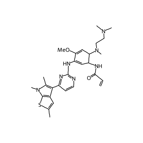 C=CC(=O)NC1C=C(Nc2nccc(-c3c(C)n(C)c4sc(C)cc34)n2)C(OC)=CC1N(C)CCN(C)C